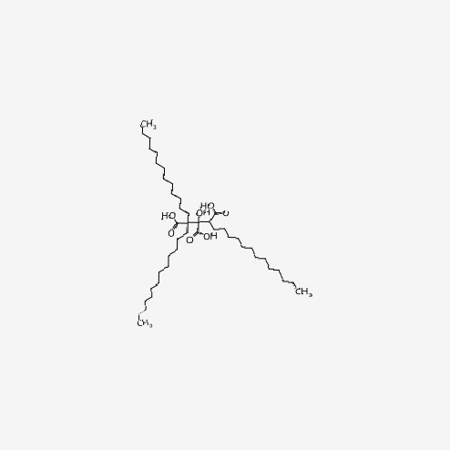 CCCCCCCCCCCCCC(C(=O)O)C(O)(C(=O)O)C(CCCCCCCCCCCCC)(CCCCCCCCCCCCC)C(=O)O